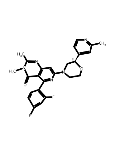 Cc1cc([C@@H]2CN(c3cc4nc(C)n(C)c(=O)c4c(-c4ccc(F)cc4F)n3)CCO2)ccn1